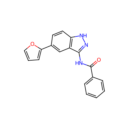 O=C(Nc1n[nH]c2ccc(-c3ccco3)cc12)c1ccccc1